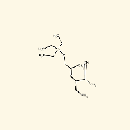 C#C[C@H](C)[C@H](/C=C(\C)CO[Si](CC)(CC)CC)CC